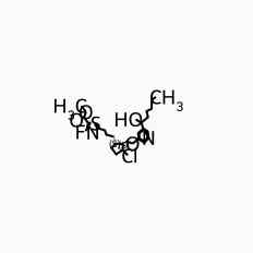 CCCCCC(O)c1cncc(OC[C@H]2C(Cl)CC[C@@H]2CCCc2nc(F)c(C(=O)OC)s2)c1